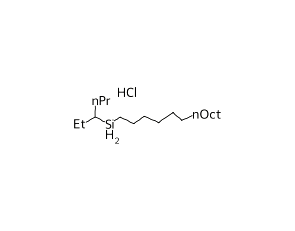 CCCCCCCCCCCCCC[SiH2]C(CC)CCC.Cl